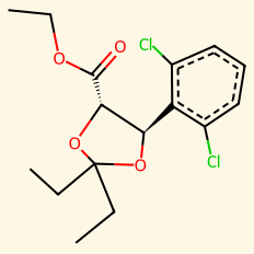 CCOC(=O)[C@H]1OC(CC)(CC)O[C@@H]1c1c(Cl)cccc1Cl